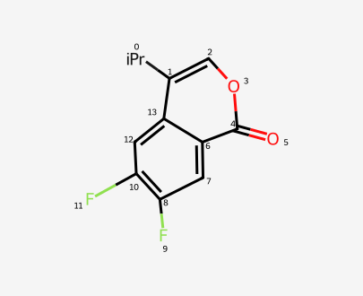 CC(C)c1coc(=O)c2cc(F)c(F)cc12